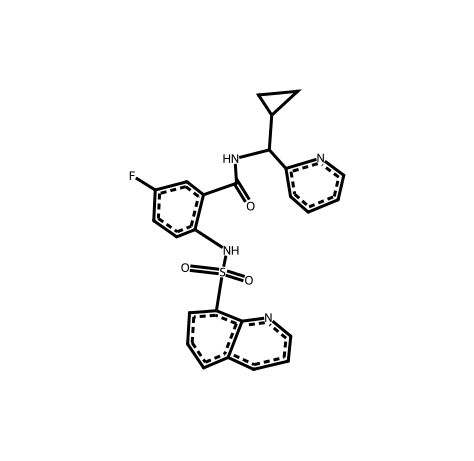 O=C(NC(c1ccccn1)C1CC1)c1cc(F)ccc1NS(=O)(=O)c1cccc2cccnc12